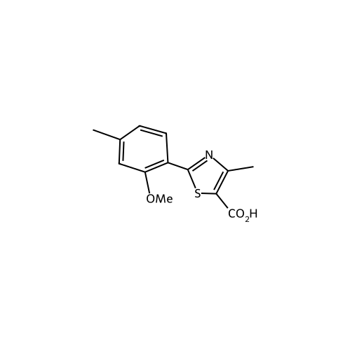 COc1cc(C)ccc1-c1nc(C)c(C(=O)O)s1